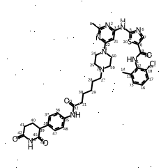 Cc1nc(Nc2ncc(C(=O)Nc3c(C)cccc3Cl)s2)cc(N2CCN(CCCCCC(=O)Nc3ccc(C4CCC(=O)NC4=O)cc3)CC2)n1